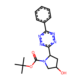 CC(C)(C)OC(=O)N1CC(O)CC1c1nnc(-c2ccccc2)nn1